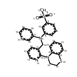 CS(=O)(=O)c1cccc(N(Cc2cccnc2N2CCSc3ccccc32)c2cccnc2)c1